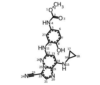 COC(=O)Nc1ccc(O)c(Nc2cc(NC3CC3)c3ncc(C#N)n3n2)c1